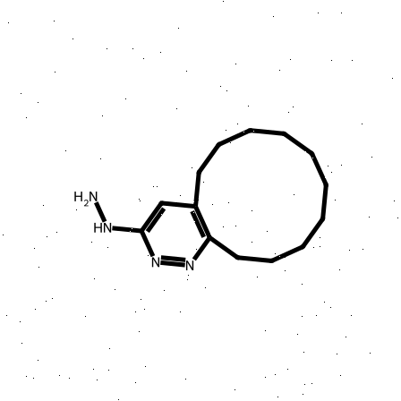 NNc1cc2c(nn1)CCCCCCCCCC2